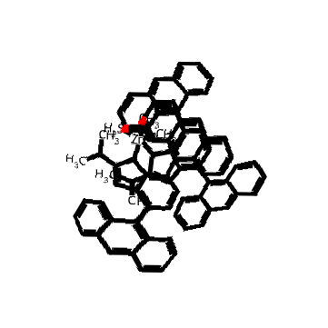 CC(C)C1=Cc2c(-c3c4ccccc4cc4ccccc34)ccc(-c3c4ccccc4cc4ccccc34)c2[CH]1[Zr]([CH3])([CH3])(=[SiH2])[CH]1C(C(C)C)=Cc2c(-c3c4ccccc4cc4ccccc34)ccc(-c3c4ccccc4cc4ccccc34)c21